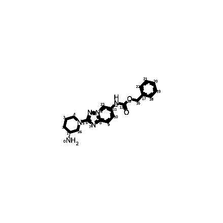 N[C@@H]1CCCN(c2nc3ccc(NC(=O)OCc4ccccc4)cn3n2)C1